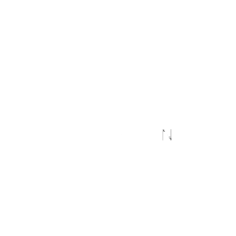 C1=CC(c2ccccn2)CC1